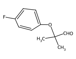 CC(C)(C=O)Oc1ccc(F)cc1